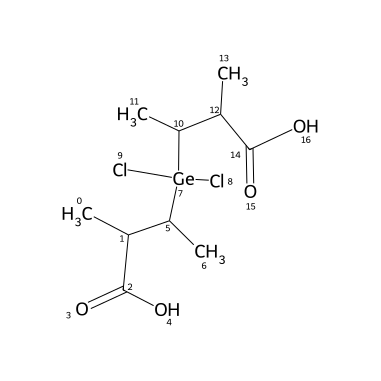 CC(C(=O)O)[CH](C)[Ge]([Cl])([Cl])[CH](C)C(C)C(=O)O